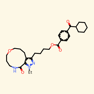 CCn1nc(CCCCOC(=O)c2ccc(C(=O)C3CCCCC3)cc2)c2c1C(=O)NCCCOCCC2